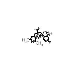 Cc1cc(CC(O)(CC(C)(C)c2ccc(F)cc2O)C(F)F)cc(C)n1